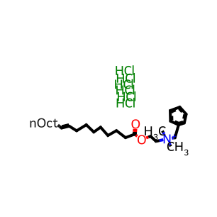 CCCCCCCCC=CCCCCCCCC(=O)OCC[N+](C)(C)Cc1ccccc1.Cl.Cl.Cl.Cl.Cl.Cl